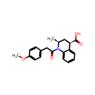 COc1ccc(CC(=O)N2c3ccccc3[C@H](C(=O)O)C[C@@H]2C)cc1